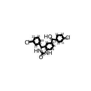 O=C1Nc2ccc(C(O)c3ccc(Cl)cc3)cc2C(c2cccc(Cl)c2)N1